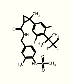 Cc1cc(CNC(=O)C2CC2(C)c2cc(F)c(C(C)(C)C(F)(F)F)c(F)c2)ccc1NS(C)(=O)=O